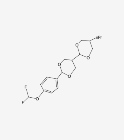 CCCC1COC(C2COC(c3ccc(OC(F)F)cc3)OC2)OC1